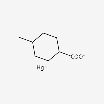 CC1CCC(C(=O)[O-])CC1.[Hg+]